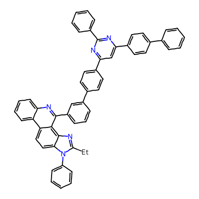 CCc1nc2c3c(-c4cccc(-c5ccc(-c6cc(-c7ccc(-c8ccccc8)cc7)nc(-c7ccccc7)n6)cc5)c4)nc4ccccc4c3ccc2n1-c1ccccc1